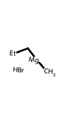 Br.CC[CH2][Mg][CH3]